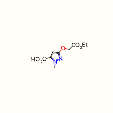 CCOC(=O)COc1cc(C(=O)O)n(C)n1